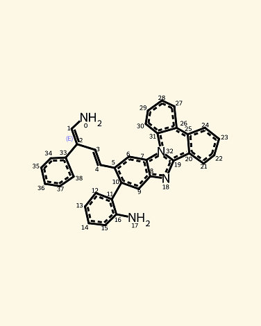 N/C=C(\C=Cc1cc2c(cc1-c1ccccc1N)nc1c3ccccc3c3ccccc3n21)c1ccccc1